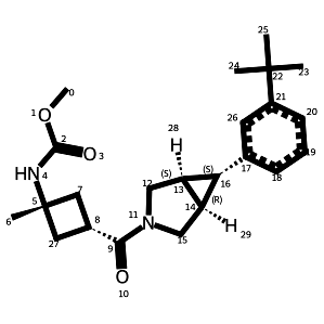 COC(=O)N[C@]1(C)C[C@H](C(=O)N2C[C@@H]3[C@H](C2)[C@H]3c2cccc(C(C)(C)C)c2)C1